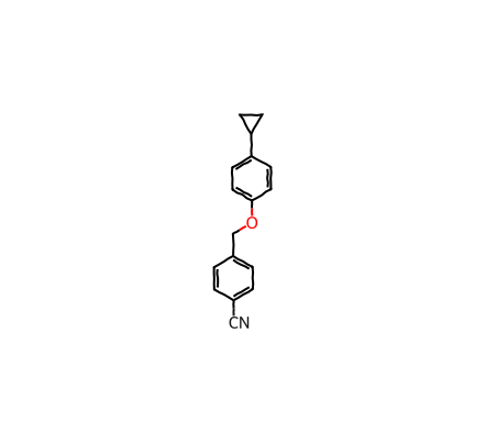 N#Cc1ccc(COc2ccc(C3CC3)cc2)cc1